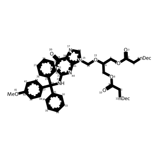 CCCCCCCCCCCC(=O)OCC(COC(=O)CCCCCCCCCCC)OCn1cnc2c(=O)[nH]c(NC(c3ccccc3)(c3ccccc3)c3ccc(OC)cc3)nc21